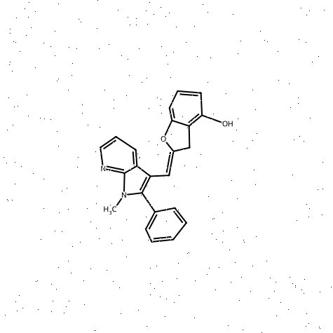 Cn1c(-c2ccccc2)c(C=C2Cc3c(O)cccc3O2)c2cccnc21